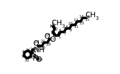 CC=CC=C(C=CCCCCCCCCCC)OC(=O)CCCC(=O)NCC1(SN=O)CCCCC1